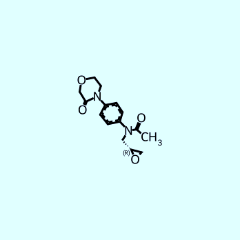 CC(=O)N(C[C@@H]1CO1)c1ccc(N2CCOCC2=O)cc1